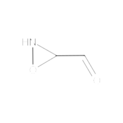 O=CC1NO1